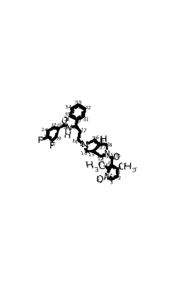 Cc1cc[n+]([O-])c(C)c1C(=O)N1CC2CN(CCC(NC(=O)c3ccc(F)c(F)c3)c3ccccc3)C[C@H]2C1